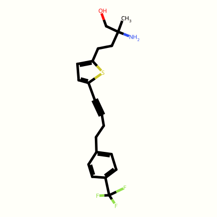 CC(N)(CO)CCc1ccc(C#CCCc2ccc(C(F)(F)F)cc2)s1